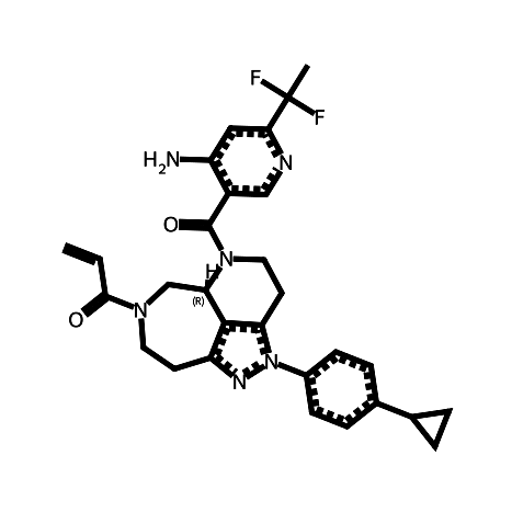 C=CC(=O)N1CCc2nn(-c3ccc(C4CC4)cc3)c3c2[C@H](C1)N(C(=O)c1cnc(C(C)(F)F)cc1N)CC3